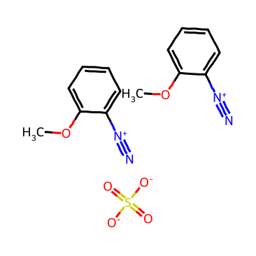 COc1ccccc1[N+]#N.COc1ccccc1[N+]#N.O=S(=O)([O-])[O-]